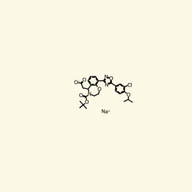 CC(C)Oc1ccc(-c2nc(-c3cccc4c3OCCN(C(=O)OC(C)(C)C)C4CC(=O)[O-])no2)cc1Cl.[Na+]